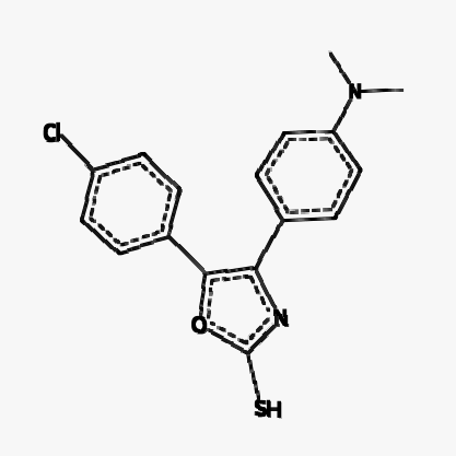 CN(C)c1ccc(-c2nc(S)oc2-c2ccc(Cl)cc2)cc1